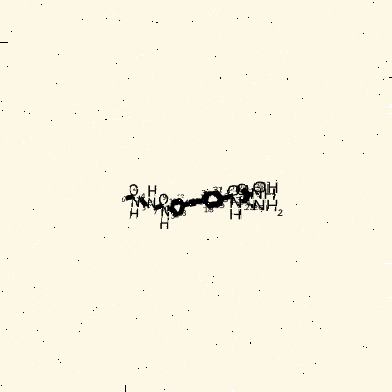 CC(=O)NCCNCC(=O)Nc1ccc(C#Cc2ccc(C(=O)N[C@@H](CN)C(=O)NO)cc2)cc1